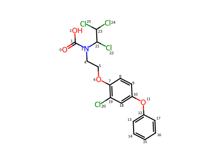 O=C(O)N(CCOc1ccc(Oc2ccccc2)cc1Cl)C(Cl)C(Cl)Cl